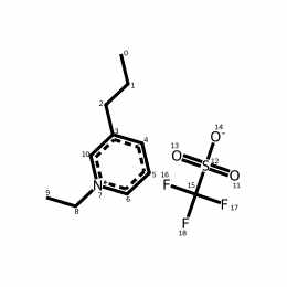 CCCc1ccc[n+](CC)c1.O=S(=O)([O-])C(F)(F)F